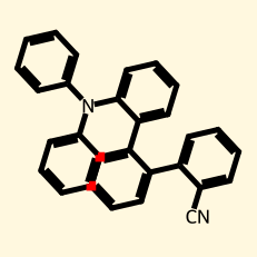 N#Cc1ccccc1-c1ccccc1-c1ccccc1N(c1ccccc1)c1ccccc1